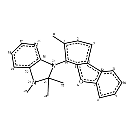 Cc1ccc2c(oc3ccccc32)c1N1c2ncccc2N(C)C1(C)C